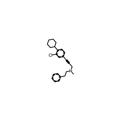 CN(CC#Cc1ccc(C2CCCCC2)c(Cl)c1)CCc1ccccc1